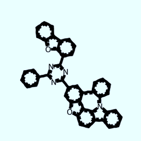 c1ccc(-c2nc(-c3cc4oc5ccc6c7ccccc7n7c8ccccc8c(c3)c4c5c67)nc(-c3cccc4c3oc3ccccc34)n2)cc1